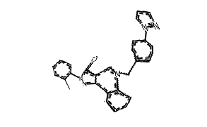 Cc1ccccc1-n1nc2c3[c]cccc3n(Cc3ccc(-n4cccn4)cc3)cc-2c1=O